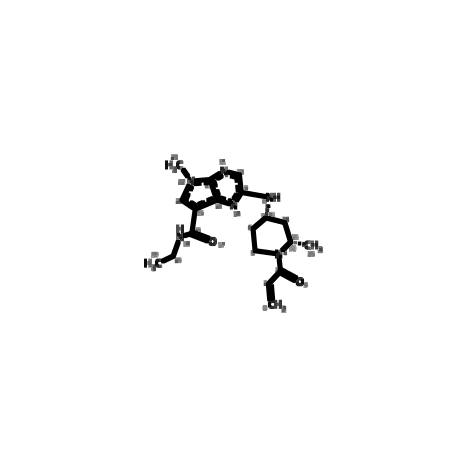 C=CC(=O)N1CC[C@H](Nc2cnc3c(n2)c(C(=O)NCC)cn3C)C[C@@H]1C